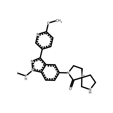 COc1ccc(-c2nn(PI)c3ccc(N4CC[C@]5(CCNC5)C4=O)cc23)cn1